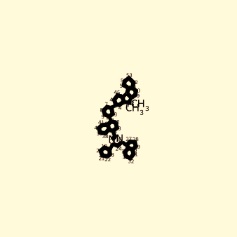 CC1(C)c2cc(-c3cccc(-c4ccc(-c5nc(-c6ccccc6)cc(-c6cccc7ccccc67)n5)c5ccccc45)c3)ccc2-c2c1ccc1ccccc21